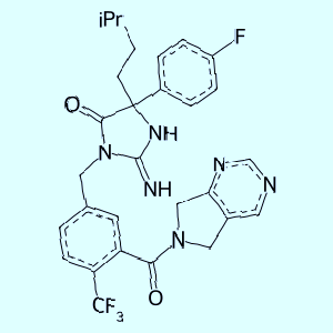 CC(C)CCC1(c2ccc(F)cc2)NC(=N)N(Cc2ccc(C(F)(F)F)c(C(=O)N3Cc4cncnc4C3)c2)C1=O